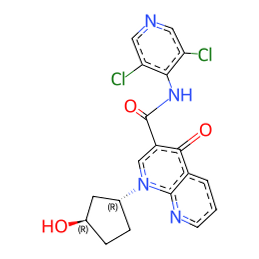 O=C(Nc1c(Cl)cncc1Cl)c1cn([C@@H]2CC[C@@H](O)C2)c2ncccc2c1=O